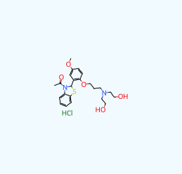 COc1ccc(OCCCN(CCO)CCO)c(C2Sc3ccccc3N2C(C)=O)c1.Cl